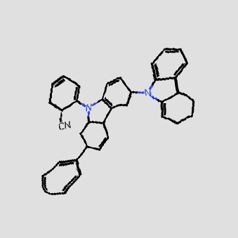 N#C[C@H]1CC=CC=C1N1C2=C(CC(N3C4=CCCCC4c4ccccc43)C=C2)C2C=CC(c3ccccc3)CC21